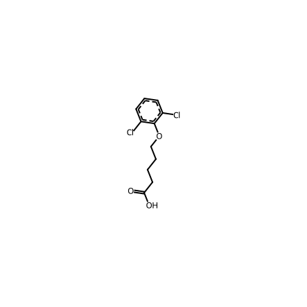 O=C(O)CCCCOc1c(Cl)cccc1Cl